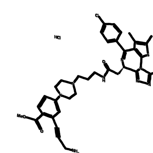 COC(=O)c1ccc(N2CCN(CCCNC(=O)C[C@@H]3N=C(c4ccc(Cl)cc4)c4c(sc(C)c4C)-n4c(C)nnc43)CC2)cc1C#CCN.Cl